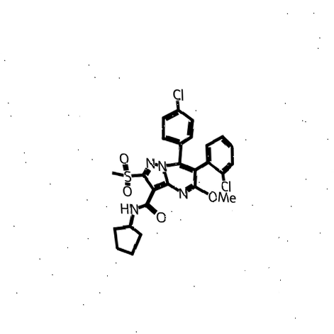 COc1nc2c(C(=O)NC3CCCC3)c(S(C)(=O)=O)nn2c(-c2ccc(Cl)cc2)c1-c1ccccc1Cl